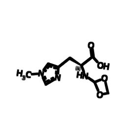 Cn1cnc(C[C@H](NC2OCO2)C(=O)O)c1